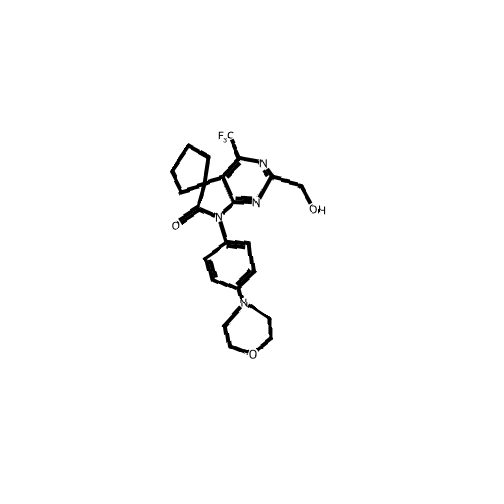 O=C1N(c2ccc(N3CCOCC3)cc2)c2nc(CO)nc(C(F)(F)F)c2C12CCCC2